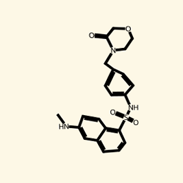 CNc1ccc2c(S(=O)(=O)Nc3ccc(CN4CCOCC4=O)cc3)cccc2c1